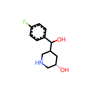 OC(c1ccc(F)cc1)C1CNC[C@@H](O)C1